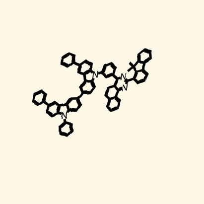 CC1(C)c2ccccc2-c2cccc(-c3nc(-c4cccc(-n5c6ccc(-c7ccccc7)cc6c6cc(-c7ccc8c(c7)c7cc(-c9ccccc9)ccc7n8-c7ccccc7)ccc65)c4)c4ccc5ccccc5c4n3)c21